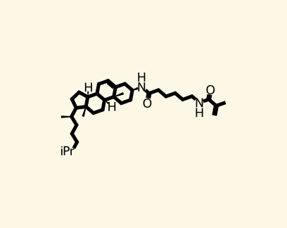 C=C(C)C(=O)NCCCCCC(=O)N[C@H]1CC[C@@]2(C)C(=CCC3[C@@H]2CC[C@]2(C)C([C@H](C)CCCC(C)C)CC[C@@H]32)C1